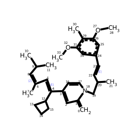 C=C1C=C(/C(=C/C(C)=C\C(C)C)C2CCC2)C=CN1CC(C)/C=C/c1cc(OC)c(C)c(OC)c1